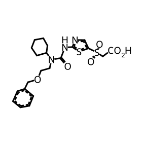 O=C(O)CS(=O)(=O)c1cnc(NC(=O)N(CCOCc2ccccc2)C2CCCCC2)s1